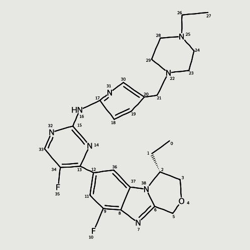 CC[C@@H]1COCc2nc3c(F)cc(-c4nc(Nc5ccc(CN6CCN(CC)CC6)cn5)ncc4F)cc3n21